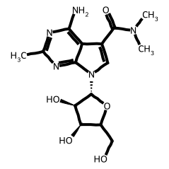 Cc1nc(N)c2c(C(=O)N(C)C)cn([C@@H]3OC(CO)[C@@H](O)[C@H]3O)c2n1